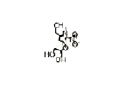 CCc1cn(OC(CO)CO)c([N+](=O)[O-])n1